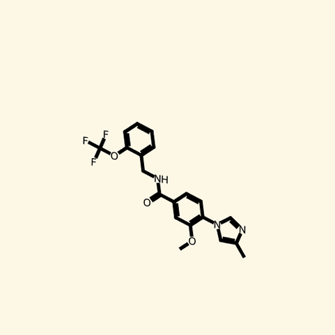 COc1cc(C(=O)NCc2ccccc2OC(F)(F)F)ccc1-n1cnc(C)c1